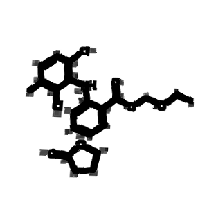 CCOCOC(=O)c1ccccc1Nc1c(Cl)ccc(C)c1Cl.O=C1CCCO1